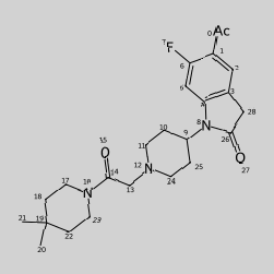 CC(=O)c1cc2c(cc1F)N(C1CCN(CC(=O)N3CCC(C)(C)CC3)CC1)C(=O)C2